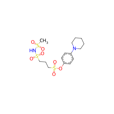 CS(=O)(=O)NS(=O)(=O)CCCS(=O)(=O)Oc1ccc(N2CCCCC2)cc1